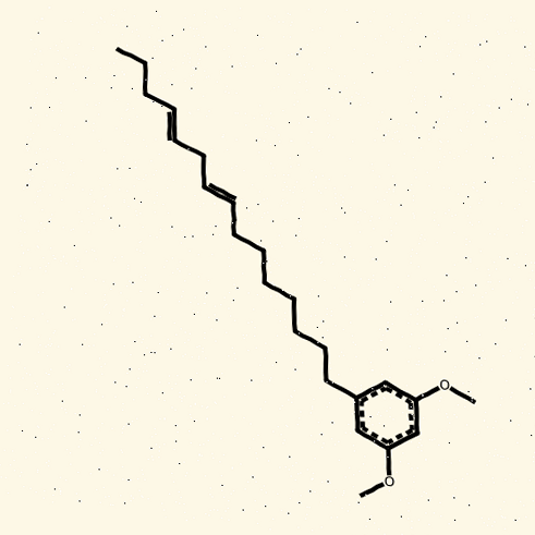 CCCC=CCC=CCCCCCCCc1cc(OC)cc(OC)c1